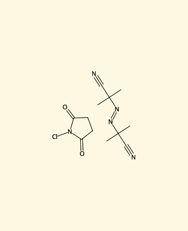 CC(C)(C#N)N=NC(C)(C)C#N.O=C1CCC(=O)N1Cl